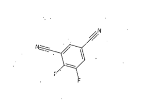 N#Cc1cc(F)c(F)c(C#N)c1